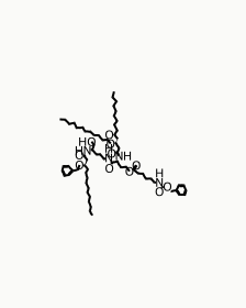 CCCCCCCCCCCC(=O)O[C@H](CCCCCCCCCCC)CC(=O)NC(CCOC(=O)CCCCCNC(=O)OCc1ccccc1)C(=O)NCCCC(CO)NC(=O)C[C@@H](CCCCCCCCCCC)OCc1ccccc1